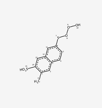 Cc1cc2ccc(SOOO)cc2cc1S(=O)(=O)O